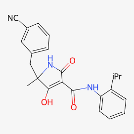 CC(C)c1ccccc1NC(=O)C1=C(O)C(C)(Cc2cccc(C#N)c2)NC1=O